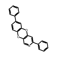 c1ccc(-c2ccc3c(c2)Oc2cc(-c4ccccc4)ncc2O3)cc1